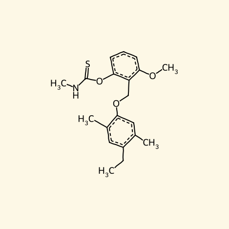 CCc1cc(C)c(OCc2c(OC)cccc2OC(=S)NC)cc1C